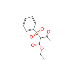 CCOC(=O)C(C(C)=O)S(=O)(=O)c1ccccc1